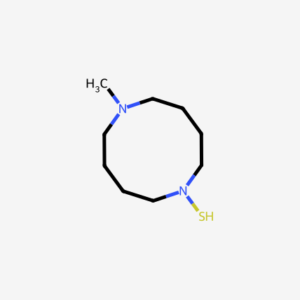 CN1CCCCN(S)CCCC1